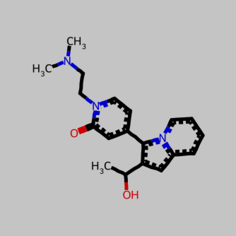 CC(O)c1cc2ccccn2c1-c1ccn(CCN(C)C)c(=O)c1